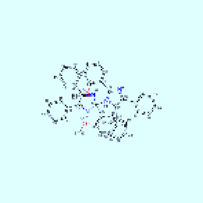 CCOc1ccccc1-c1nc(-c2ccccc2)c(-c2ccccc2)n1C1(c2ccccc2OCC)N=C(c2ccccc2)C(c2ccccc2)=N1